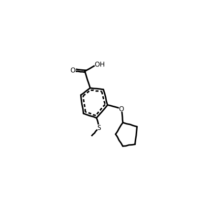 CSc1ccc(C(=O)O)cc1OC1CCCC1